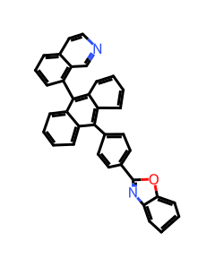 c1cc(-c2c3ccccc3c(-c3ccc(-c4nc5ccccc5o4)cc3)c3ccccc23)c2cnccc2c1